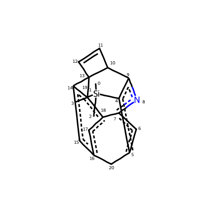 C[Si](C)(C)c1c2cc3nc1C1C=CC14c1cc(cc-3c14)C2